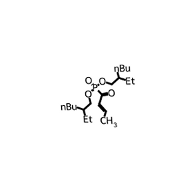 CC=CC(=O)P(=O)(OCC(CC)CCCC)OCC(CC)CCCC